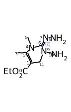 CCOC(=O)C1=C(C)N(C)/C(=N/N)N(N)C1